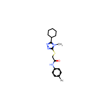 CC(=O)c1ccc(NC(=O)CSc2nnc(C3CCCCC3)n2C)cc1